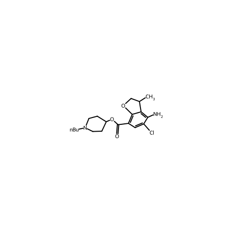 CCCCN1CCC(OC(=O)c2cc(Cl)c(N)c3c2OCC3C)CC1